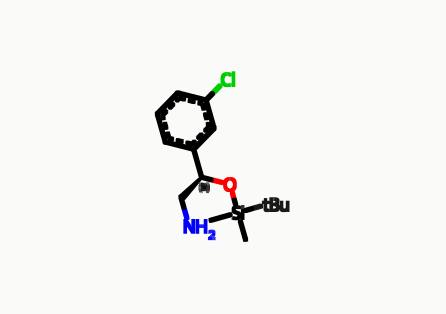 CC(C)(C)[Si](C)(C)O[C@@H](CN)c1cccc(Cl)c1